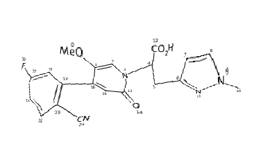 COc1cn(C(Cc2ccn(C)n2)C(=O)O)c(=O)cc1-c1cc(F)ccc1C#N